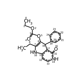 CCOC(=O)OC1=C(CC)Nc2cc[nH]c(=O)c2C1c1ccccc1